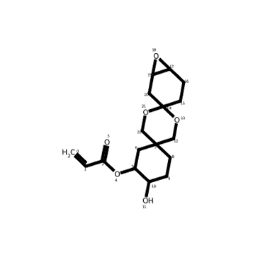 C=CC(=O)OC1CC2(CCC1O)COC1(CCC3OC3C1)OC2